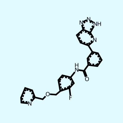 O=C(Nc1ccc(COCc2ccccn2)c(F)c1)c1cccc(-c2ccc3nn[nH]c3n2)c1